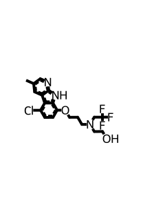 Cc1cnc2[nH]c3c(OCCCN(CCO)CC(F)(F)F)ccc(Cl)c3c2c1